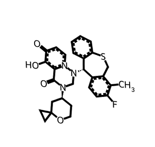 Cc1c(F)ccc2c1CSc1ccccc1[C@H]2N1CN([C@H]2CCOC3(CC3)C2)C(=O)c2c(O)c(=O)ccn21